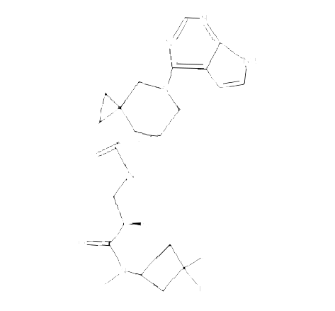 CN(C(=O)[C@H](O)CNC(=O)[C@H]1CCN(c2ncnc3[nH]ccc23)CC12CC2)C1CC(F)(F)C1